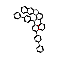 c1ccc(-c2ccc(-c3ccc(N(c4ccc(-c5ccccc5)cc4)c4c(-c5ccccc5)ccc5oc6cc7ccccc7cc6c45)cc3)cc2)cc1